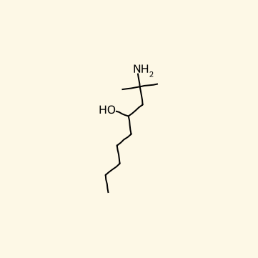 CCCCCC(O)CC(C)(C)N